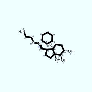 C[C@]12CC[C@H](O)[C@@H](O)[C@]1(O)CC[C@]2(/C=N/OCCN)C1CCCCC1